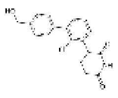 O=C1CCC(c2cccc(-c3ccc(CO)cc3)c2Cl)C(=O)N1